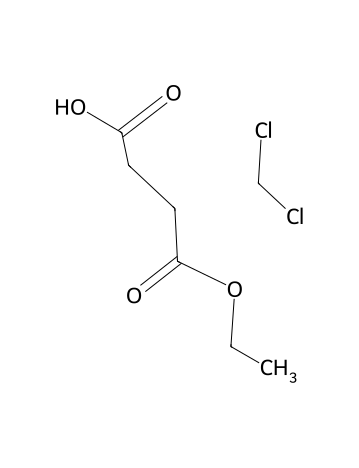 CCOC(=O)CCC(=O)O.ClCCl